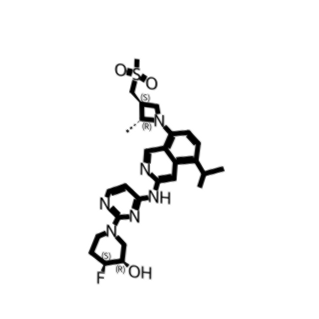 CC(C)c1ccc(N2C[C@H](CS(C)(=O)=O)[C@H]2C)c2cnc(Nc3ccnc(N4CC[C@H](F)[C@H](O)C4)n3)cc12